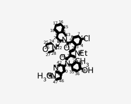 CCn1c(-c2cc(Cl)ccc2C(=O)N2Cc3ccccc3C[C@H]2CN2CCOCC2)cc(C(=O)N(c2ccc(O)cc2)c2cnc3c(ccn3C)c2)c1C